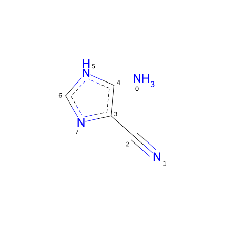 N.N#Cc1c[nH]cn1